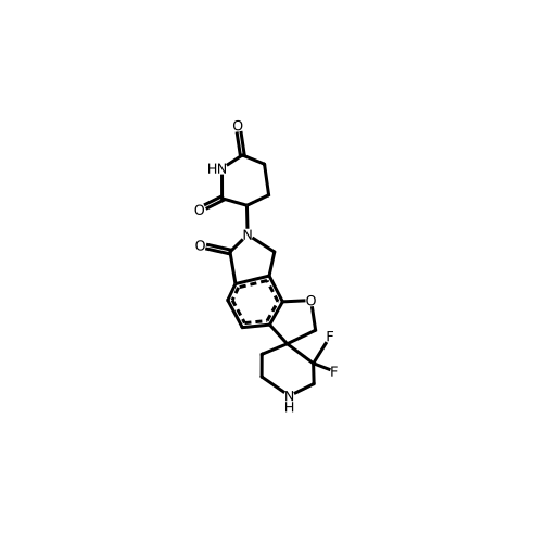 O=C1CCC(N2Cc3c(ccc4c3OCC43CCNCC3(F)F)C2=O)C(=O)N1